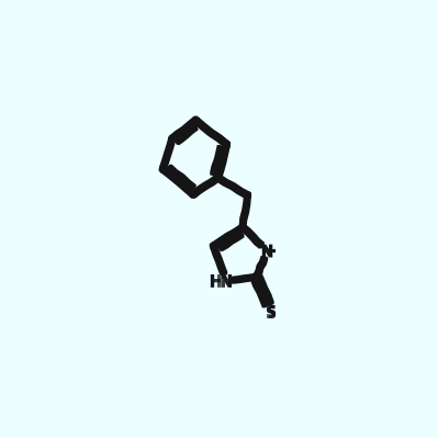 S=C1[N]C(Cc2ccccc2)=CN1